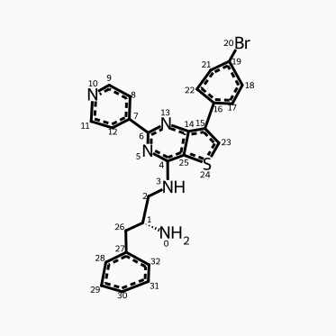 N[C@@H](CNc1nc(-c2ccncc2)nc2c(-c3ccc(Br)cc3)csc12)Cc1ccccc1